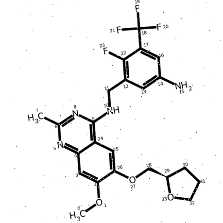 COc1cc2nc(C)nc(NCc3cc(N)cc(C(F)(F)F)c3F)c2cc1OC[C@H]1CCCO1